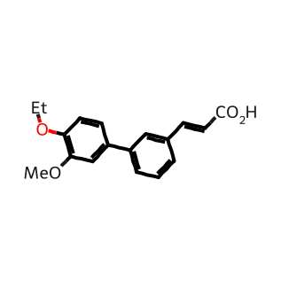 CCOc1ccc(-c2cccc(/C=C/C(=O)O)c2)cc1OC